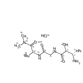 CCC[C@H](N)C(O)C(=O)NCC(=O)NC(C(=O)N(C)C)C(C)(C)C.Cl